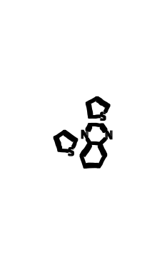 c1ccc2nccnc2c1.c1ccsc1.c1ccsc1